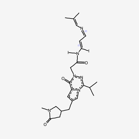 CC(C)=C/N=C\C=C(/I)N(I)C(=O)Cn1nc(C(C)C)n2cc(CC3CC(=O)N(C)C3)cc2c1=O